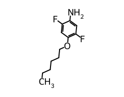 CCCCCCOc1cc(F)c(N)cc1F